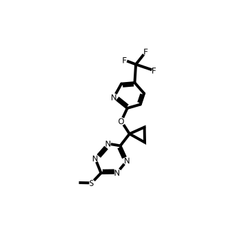 CSc1nnc(C2(Oc3ccc(C(F)(F)F)cn3)CC2)nn1